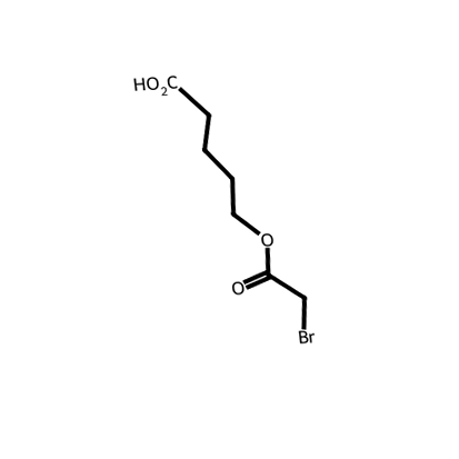 O=C(O)CCCCOC(=O)CBr